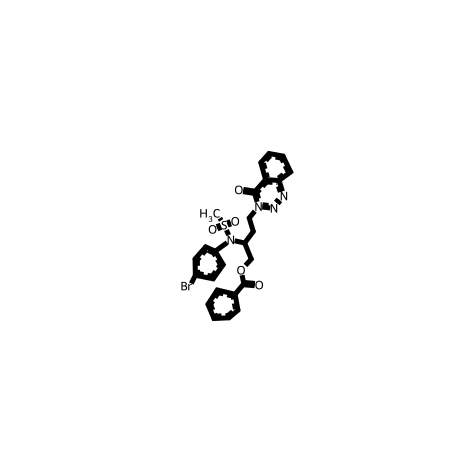 CS(=O)(=O)N(c1ccc(Br)cc1)C(CCn1nnc2ccccc2c1=O)COC(=O)c1ccccc1